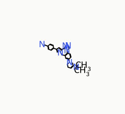 CN(C)C1=CCCN(c2ccc3c(c2)Cn2cc(-c4ccc(C#N)cc4)cc2-c2nncn2-3)C1